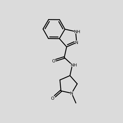 CN1CC(NC(=O)c2n[nH]c3ccccc23)CC1=O